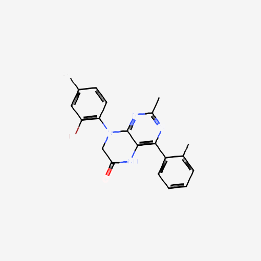 Cc1nc(-c2ccccc2C(F)(F)F)c2c(n1)N(c1ccc(C(C)C)cc1Br)CC(=O)N2